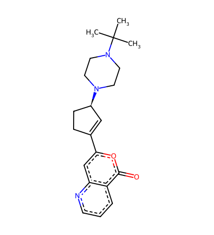 CC(C)(C)N1CCN([C@H]2C=C(c3cc4ncccc4c(=O)o3)CC2)CC1